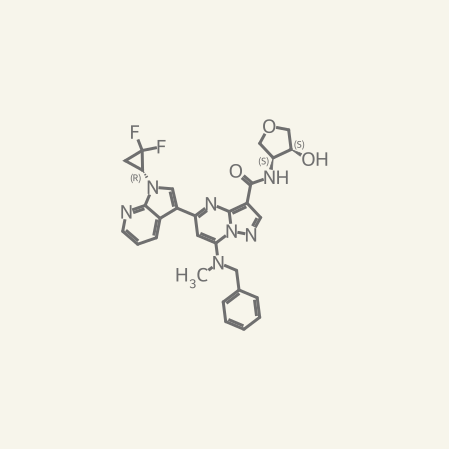 CN(Cc1ccccc1)c1cc(-c2cn([C@@H]3CC3(F)F)c3ncccc23)nc2c(C(=O)N[C@H]3COC[C@H]3O)cnn12